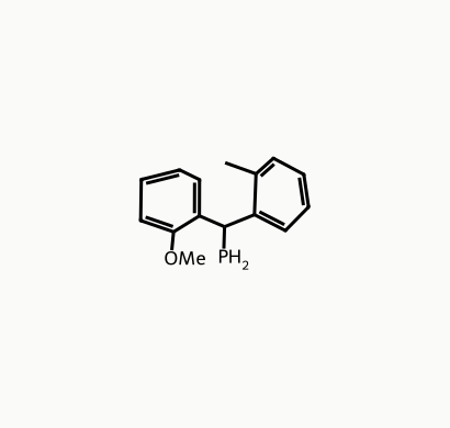 COc1ccccc1C(P)c1ccccc1C